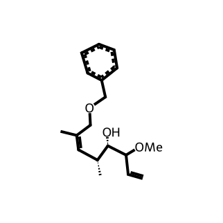 C=CC(OC)[C@@H](O)[C@H](C)/C=C(/C)COCc1ccccc1